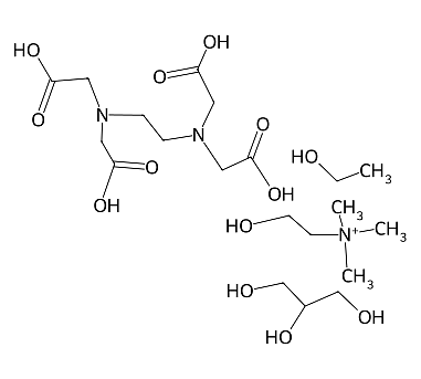 CCO.C[N+](C)(C)CCO.O=C(O)CN(CCN(CC(=O)O)CC(=O)O)CC(=O)O.OCC(O)CO